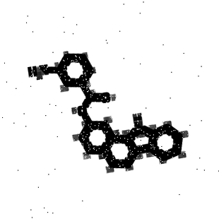 Nc1cccc(C(=O)Oc2ccc3ccc4c5ccccc5[nH]c4c3c2)c1